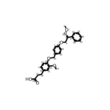 CON=C(COc1ccc(COc2ccc(CCC(=O)O)cc2OC)cc1)c1ccccc1